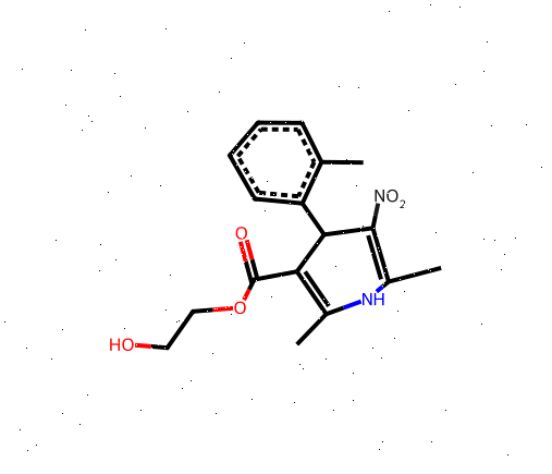 CC1=C(C(=O)OCCO)C(c2ccccc2C)C([N+](=O)[O-])=C(C)N1